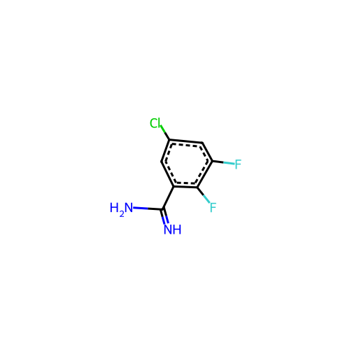 N=C(N)c1cc(Cl)cc(F)c1F